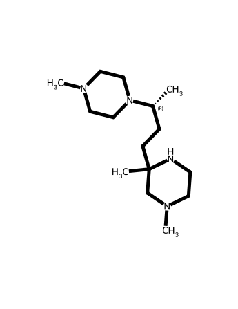 C[C@H](CCC1(C)CN(C)CCN1)N1CCN(C)CC1